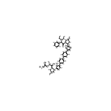 CCN(CC)C(C(=O)N1CC(F)CC1c1ncc(-c2ccc(-c3ccc(-c4cnc([C@@H]5C[C@H](F)CN5C(=O)[C@H](C)OC(N)=O)[nH]4)cc3)cc2)[nH]1)c1ccccc1